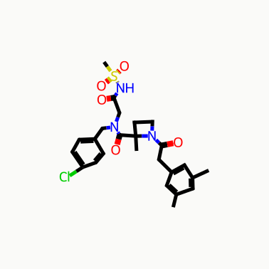 Cc1cc(C)cc(CC(=O)N2CCC2(C)C(=O)N(CC(=O)NS(C)(=O)=O)Cc2ccc(Cl)cc2)c1